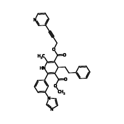 COC(=O)C1=C(c2cccc(-n3ccnc3)c2)NC(C)=C(C(=O)OCC#Cc2cccnc2)C1CCc1ccccc1